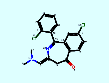 CN(C)C=C1CC(=O)c2ccc(Cl)cc2C(c2ccccc2Cl)=N1